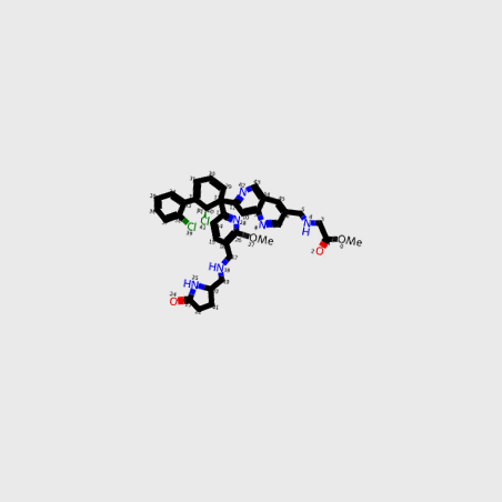 COC(=O)CNCc1cnc2cc(C3(c4ccc(CNCC5CCC(=O)N5)c(OC)n4)C=CC=C(c4ccccc4Cl)[C@H]3Cl)ncc2c1